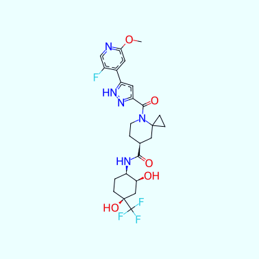 COc1cc(-c2cc(C(=O)N3CC[C@H](C(=O)N[C@@H]4CC[C@@](O)(C(F)(F)F)C[C@@H]4O)CC34CC4)n[nH]2)c(F)cn1